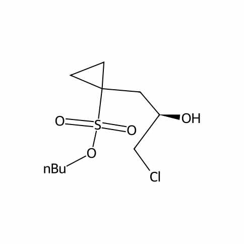 CCCCOS(=O)(=O)C1(C[C@@H](O)CCl)CC1